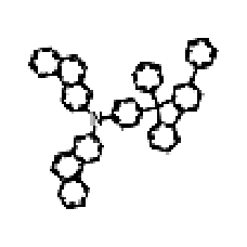 c1ccc(-c2ccc3c(c2)C(c2ccccc2)(c2ccc(N(c4ccc5c(ccc6ccccc65)c4)c4ccc5c(ccc6ccccc65)c4)cc2)c2ccccc2-3)cc1